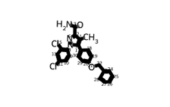 Cc1c(C(N)=O)nn(-c2ccc(Cl)cc2Cl)c1-c1ccc(OCc2ccccc2)cc1